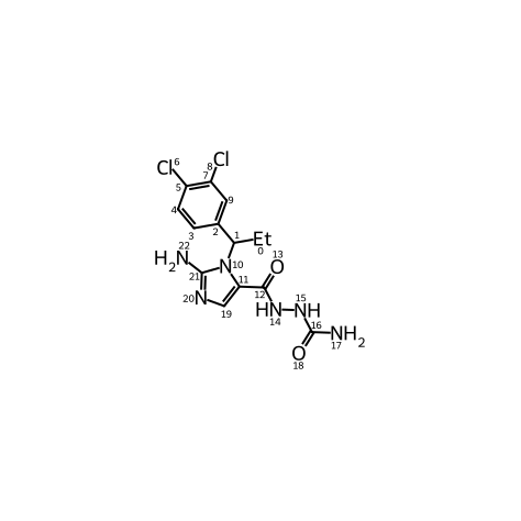 CCC(c1ccc(Cl)c(Cl)c1)n1c(C(=O)NNC(N)=O)cnc1N